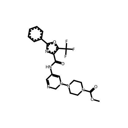 COC(=O)N1CCN(N2C=C(NC(=O)c3nc(-c4ccccc4)oc3C(F)(F)F)C=NC2)CC1